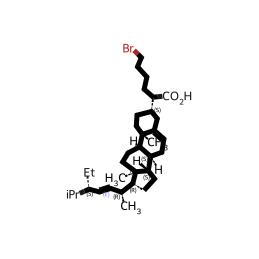 CC[C@H](/C=C/[C@@H](C)[C@H]1CC[C@H]2[C@@H]3CC=C4C[C@@H](C(CCCCBr)C(=O)O)CC[C@]4(C)[C@H]3CC[C@]12C)C(C)C